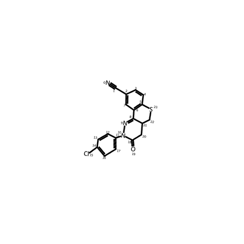 N#Cc1ccc2c(c1)C1=NN(c3ccc(Cl)cc3)C(=O)CC1CS2